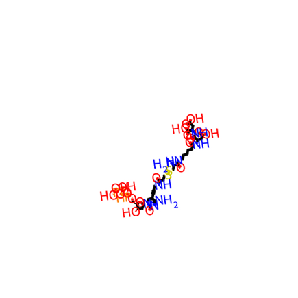 Nc1nc(=O)n([C@H]2C[C@@H](O)[C@@H](COPOP(O)OP(O)O)O2)cc1C#CCNC(=O)CCSSCC(N)C(=O)NCCCCCC(=O)NC(CC(=O)O)C(=O)NC(CC(=O)O)C(=O)O